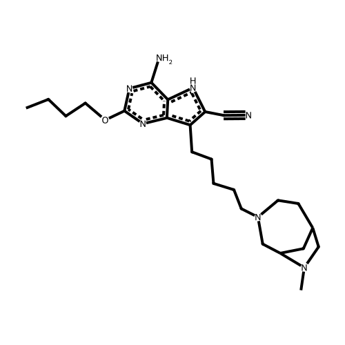 CCCCOc1nc(N)c2[nH]c(C#N)c(CCCCCN3CCC4CC(C3)N(C)C4)c2n1